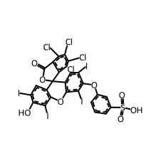 O=C1OC2(c3cc(I)c(O)c(I)c3Oc3c2cc(I)c(Oc2cccc(S(=O)(=O)O)c2)c3I)c2c(Cl)c(Cl)c(Cl)c(Cl)c21